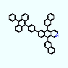 c1ccc(-c2c3ccccc3c(-c3ccc(-c4ccc5c(-c6ccc7ccccc7c6)c6cnccc6c(-c6ccc7ccccc7c6)c5c4)cc3)c3ccccc23)cc1